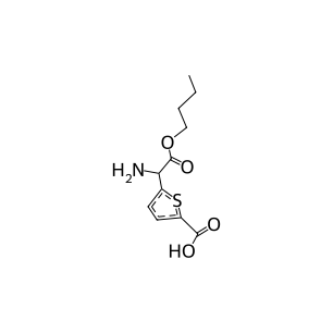 CCCCOC(=O)C(N)c1ccc(C(=O)O)s1